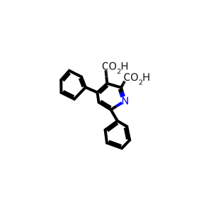 O=C(O)c1nc(-c2ccccc2)cc(-c2ccccc2)c1C(=O)O